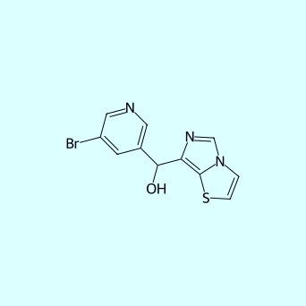 OC(c1cncc(Br)c1)c1ncn2ccsc12